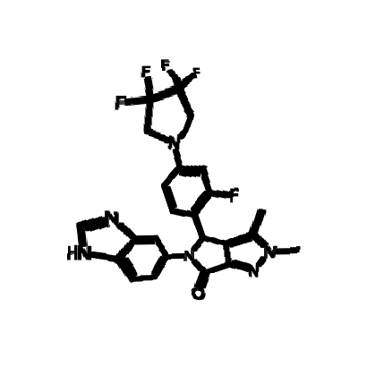 Cc1c2c(nn1C)C(=O)N(c1ccc3[nH]cnc3c1)C2c1ccc(N2CC(F)(F)C(F)(F)C2)cc1F